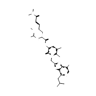 COC(O)N[C@@H](CC/C=C/C(=O)N(C)C)C(=O)Nc1cc(C)c(C)n(Cc2nc3c(F)cnc(CC(C)C)c3[nH]2)c1=O